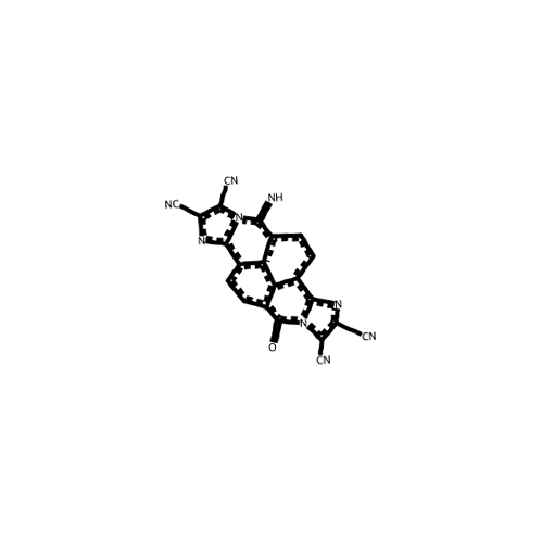 N#Cc1nc2c3ccc4c(=O)n5c(C#N)c(C#N)nc5c5ccc(c(=N)n2c1C#N)c3c45